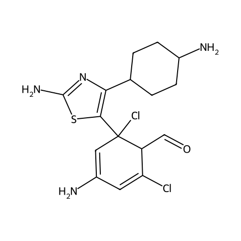 NC1=CC(Cl)(c2sc(N)nc2C2CCC(N)CC2)C(C=O)C(Cl)=C1